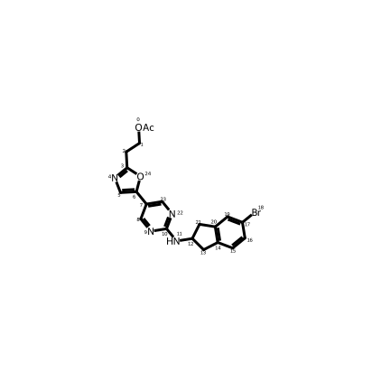 CC(=O)OCCc1ncc(-c2cnc(NC3Cc4ccc(Br)cc4C3)nc2)o1